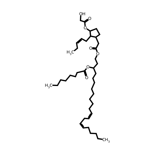 CC/C=C\CC1C(CC(=O)OCCC(CCCCCCCC/C=C\C/C=C\CCCCC)OC(=O)CCCCCCC)CCC1OC(=O)CO